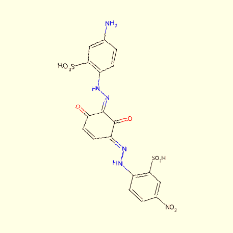 Nc1ccc(NN=c2c(=O)cc/c(=N\Nc3ccc([N+](=O)[O-])cc3S(=O)(=O)O)c2=O)c(S(=O)(=O)O)c1